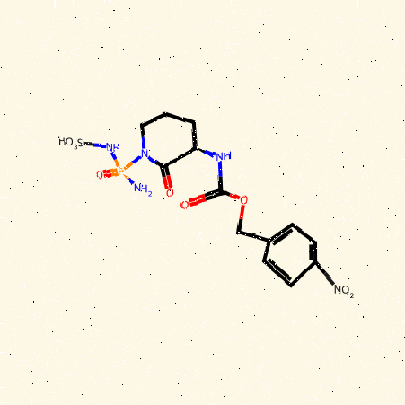 N[P@@](=O)(NS(=O)(=O)O)N1CCC[C@@H](NC(=O)OCc2ccc([N+](=O)[O-])cc2)C1=O